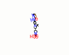 CC(C)(C)C1CC(C2CCN(C(=O)O)CC2)CCN1c1ccc(NC(=O)c2nccs2)cc1